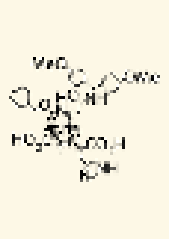 COc1ccc(C(NC(=O)C[C@H](NC(=O)OCc2ccccc2)C(=O)N[C@H](C(=O)O)[C@@H](C)N[C@H](Cc2c[nH]cn2)C(=O)O)c2ccc(OC)cc2)cc1